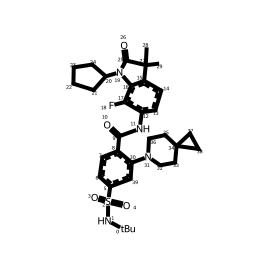 CC(C)(C)NS(=O)(=O)c1ccc(C(=O)Nc2ccc3c(c2F)N(C2CCCC2)C(=O)C3(C)C)c(N2CCC3(CC2)CC3)c1